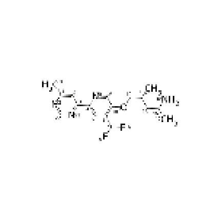 Cc1cc(-c2cc(C(F)F)c(OCC(C)CC(C)N)cn2)ncn1